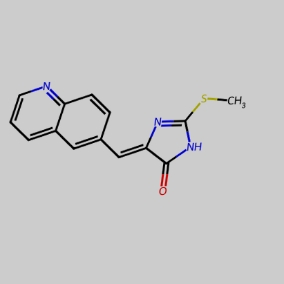 CSC1=N/C(=C\c2ccc3ncccc3c2)C(=O)N1